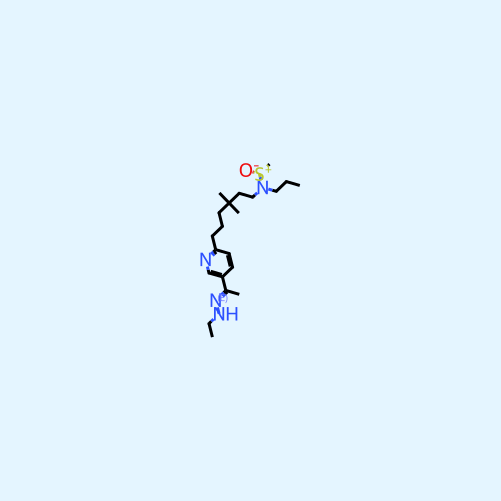 CCCN(CCC(C)(C)CCCc1ccc(/C(C)=N/NCC)cn1)[S+](C)[O-]